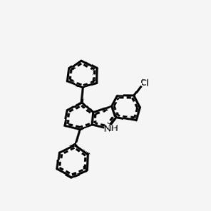 Clc1ccc2[nH]c3c(-c4ccccc4)ccc(-c4ccccc4)c3c2c1